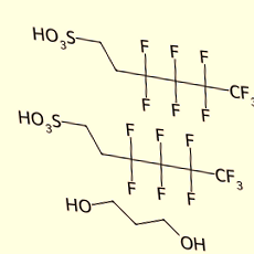 O=S(=O)(O)CCC(F)(F)C(F)(F)C(F)(F)C(F)(F)F.O=S(=O)(O)CCC(F)(F)C(F)(F)C(F)(F)C(F)(F)F.OCCCO